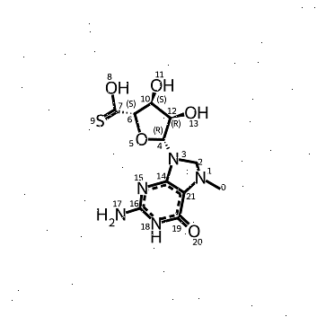 CN1CN([C@@H]2O[C@H](C(O)=S)[C@@H](O)[C@H]2O)c2nc(N)[nH]c(=O)c21